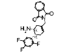 N[C@H]1CC(CN2C(=O)c3ccccc3C2=O)=CC[C@@H]1c1cc(F)c(F)cc1F